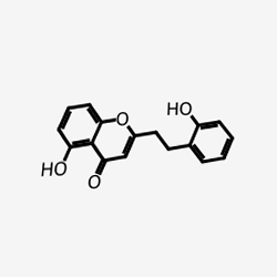 O=c1cc(CCc2ccccc2O)oc2cccc(O)c12